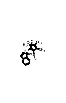 CCCC[C]1([Hf][C]2=C(C)C(C)=C(C)C2(C)C)C=Cc2ccccc21